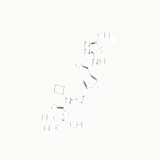 Cc1nnc(NC(=O)c2csc([C@@H]3C[C@H]3N(C(=O)OC(C)(C)C)C3CCC3)c2)s1